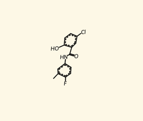 Cc1cc(NC(=O)c2cc(Cl)ccc2O)ccc1F